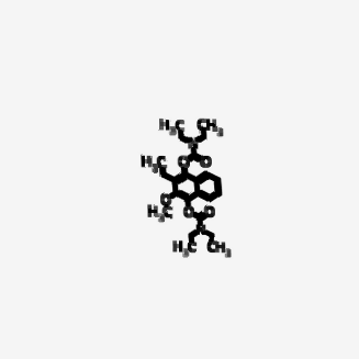 CCc1c(OC)c(OC(=O)N(CC)CC)c2ccccc2c1OC(=O)N(CC)CC